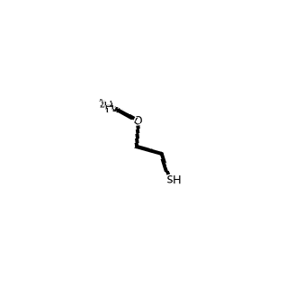 [2H]OCCS